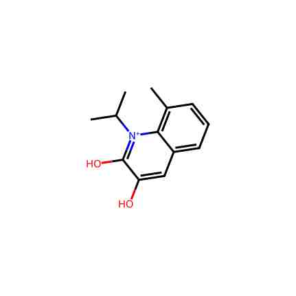 Cc1cccc2cc(O)c(O)[n+](C(C)C)c12